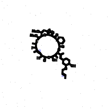 C/C=C/COC1CC(C=C(C)C2OC(=O)C3CCCCN3C(=O)C(=O)C3(O)OC(C(OC)CC(C)C(F)/C(C)=C/C(CC)C(=O)CC(O)C2C)C(OC)CC3C)CCC1O